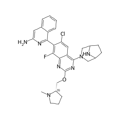 CN1CCC[C@H]1COc1nc(N2CC3CCC(C2)N3)c2cc(Cl)c(-c3nc(N)cc4ccccc34)c(F)c2n1